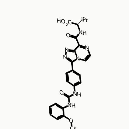 CC(C)[C@H](NC(=O)c1nccn2c(-c3ccc(NC(=O)Nc4ccccc4OC(F)(F)F)cc3)nnc12)C(=O)O